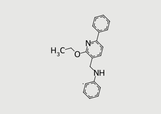 CCOc1nc(-c2ccccc2)ccc1CNc1[c]cccc1